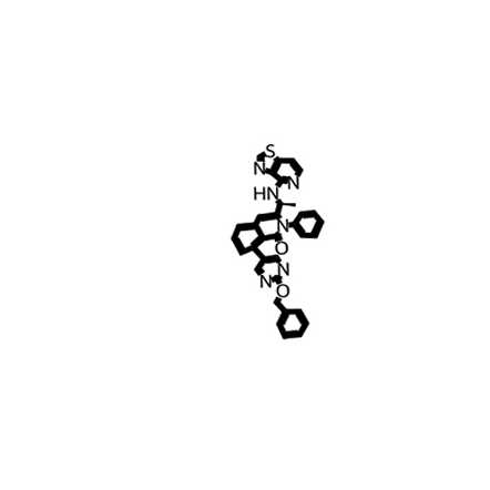 C[C@H](Nc1nccc2scnc12)c1cc2cccc(-c3cnc(OCc4ccccc4)nc3)c2c(=O)n1-c1ccccc1